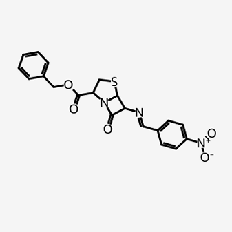 O=C(OCc1ccccc1)C1CSC2C(N=Cc3ccc([N+](=O)[O-])cc3)C(=O)N12